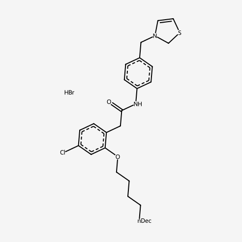 Br.CCCCCCCCCCCCCCOc1cc(Cl)ccc1CC(=O)Nc1ccc(CN2C=CSC2)cc1